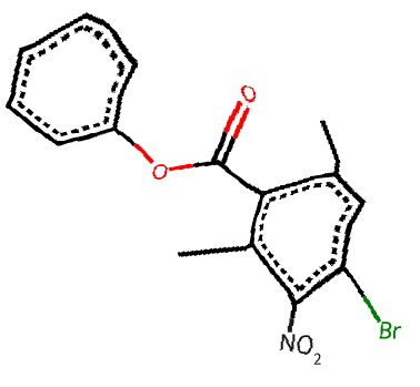 Cc1cc(Br)c([N+](=O)[O-])c(C)c1C(=O)Oc1ccccc1